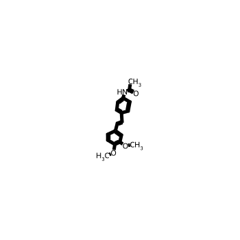 COc1ccc(/C=C/c2ccc(NC(C)=O)cc2)cc1OC